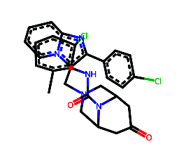 Cc1cccc(Cl)c1NC(=O)N1C2CC(=O)CC1CN(Cc1c(-c3ccc(Cl)cc3)nc3ccccn13)C2